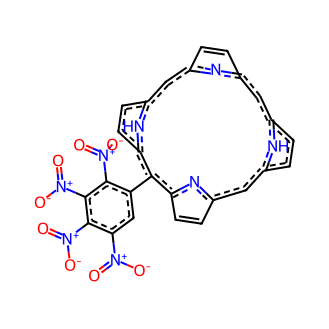 O=[N+]([O-])c1cc(-c2c3nc(cc4ccc(cc5nc(cc6ccc2[nH]6)C=C5)[nH]4)C=C3)c([N+](=O)[O-])c([N+](=O)[O-])c1[N+](=O)[O-]